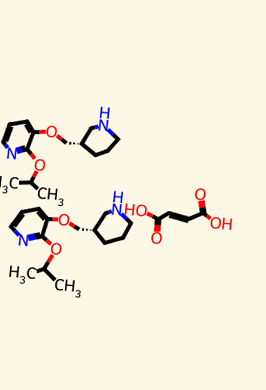 CC(C)Oc1ncccc1OC[C@H]1CCCNC1.CC(C)Oc1ncccc1OC[C@H]1CCCNC1.O=C(O)/C=C/C(=O)O